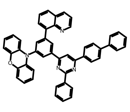 c1ccc(-c2ccc(-c3cc(-c4cc(-c5cccc6cccnc56)cc(N5c6ccccc6Oc6ccccc65)c4)nc(-c4ccccc4)n3)cc2)cc1